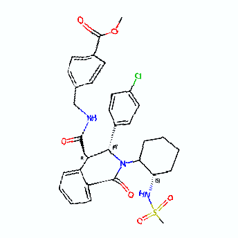 COC(=O)c1ccc(CNC(=O)[C@@H]2c3ccccc3C(=O)N(C3CCCC[C@@H]3NS(C)(=O)=O)[C@H]2c2ccc(Cl)cc2)cc1